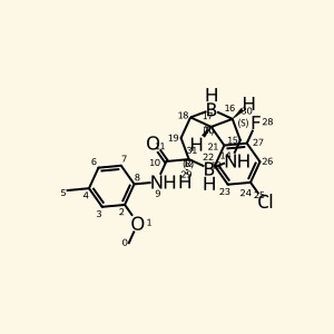 COc1cc(C)ccc1NC(=O)[C@@H]1BNC[C@H]2BC(C1)[C@H]2c1ccc(Cl)cc1F